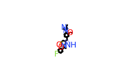 COc1cc(/C=C2\CCS(=O)(=O)N(C(C)c3ccc(F)cc3)C2=N)ccc1-n1cnc(C)c1